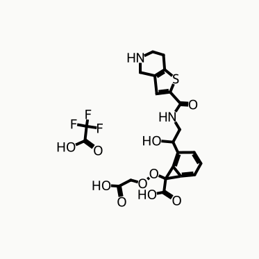 O=C(O)C(F)(F)F.O=C(O)COOC1(C(=O)O)c2cccc(C(O)CNC(=O)c3cc4c(s3)CCNC4)c21